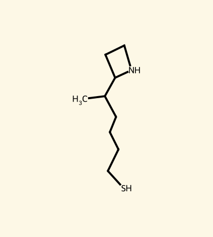 CC(CCCCS)C1CCN1